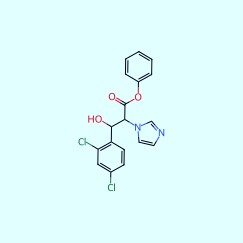 O=C(Oc1ccccc1)C(C(O)c1ccc(Cl)cc1Cl)n1ccnc1